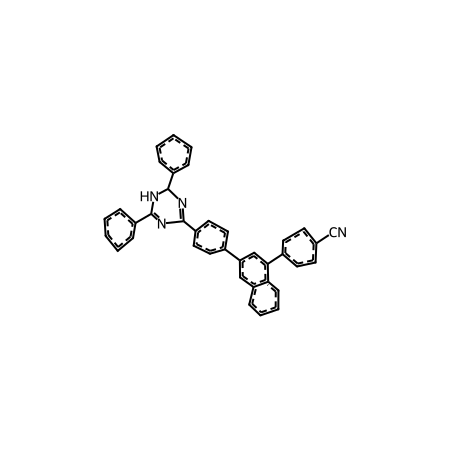 N#Cc1ccc(-c2cc(-c3ccc(C4=NC(c5ccccc5)NC(c5ccccc5)=N4)cc3)cc3ccccc23)cc1